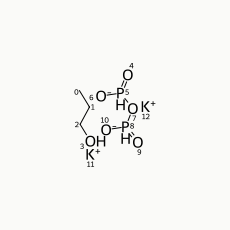 CCCO.O=[PH]([O-])O[PH](=O)[O-].[K+].[K+]